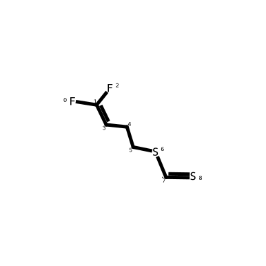 FC(F)=CCCS[C]=S